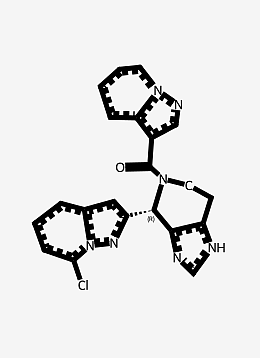 O=C(c1cnn2ccccc12)N1CCc2[nH]cnc2[C@@H]1c1cc2cccc(Cl)n2n1